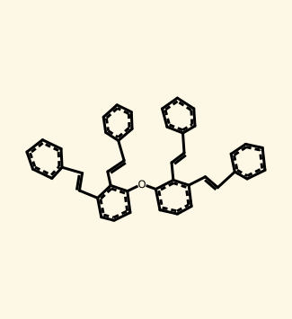 C(=C\c1cccc(Oc2cccc(/C=C/c3ccccc3)c2/C=C/c2ccccc2)c1/C=C/c1ccccc1)/c1ccccc1